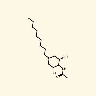 CCCCCCCCCN1C[C@@H](O)C(NC(C)=O)[C@H](O)C1